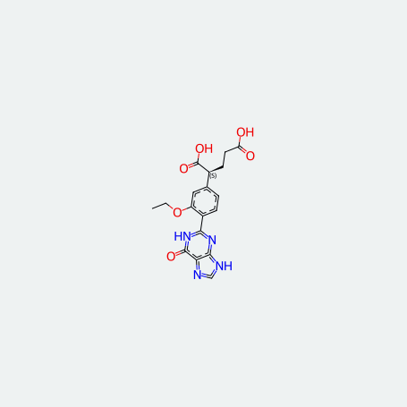 CCOc1cc([C@H](CCC(=O)O)C(=O)O)ccc1-c1nc2[nH]cnc2c(=O)[nH]1